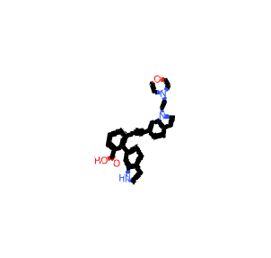 O=C(O)c1cccc(C#Cc2ccc3ccn(CCN4CCOCC4)c3c2)c1-c1ccc2cc[nH]c2c1